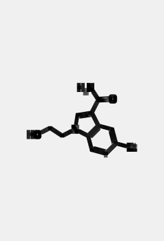 CCc1[c]cc2c(c1)c(C(N)=O)cn2CCO